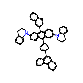 C1=C(c2c3cc(N4CCCc5ccccc54)ccc3c(-c3ccc4ccccc4c3)c3cc(N4CCCc5ccccc54)ccc23)CCC(c2cc3ccccc3c3ccccc23)=C1